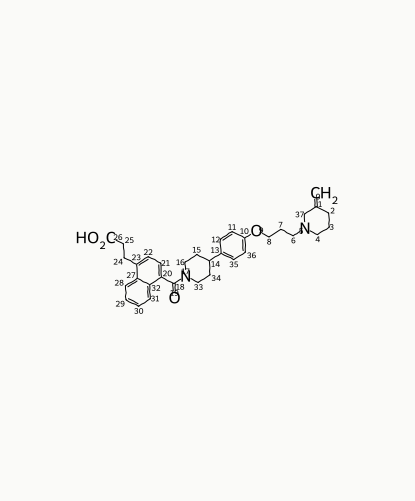 C=C1CCCN(CCCOc2ccc(C3CCN(C(=O)c4ccc(CCC(=O)O)c5ccccc45)CC3)cc2)C1